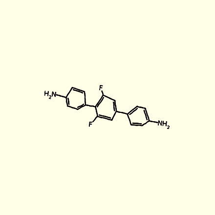 Nc1ccc(-c2cc(F)c(-c3ccc(N)cc3)c(F)c2)cc1